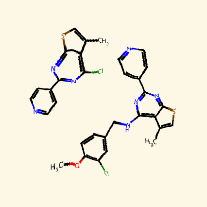 COc1ccc(CNc2nc(-c3ccncc3)nc3scc(C)c23)cc1Cl.Cc1csc2nc(-c3ccncc3)nc(Cl)c12